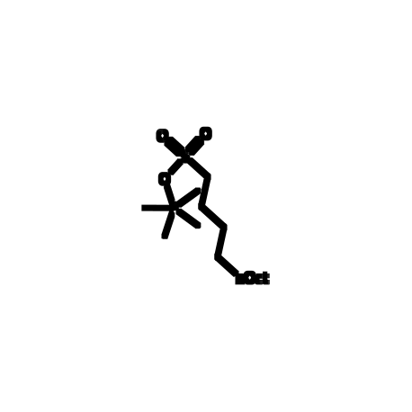 CCCCCCCCCCCCS(=O)(=O)OP(C)(C)(C)C